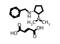 CN(C)[C@@H]1CCC[C@H]1NCc1ccccc1.O=C(O)C=CC(=O)O